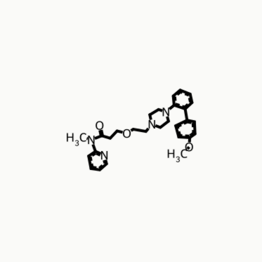 COc1ccc(-c2ccccc2N2CCN(CCOCCC(=O)N(C)c3ccccn3)CC2)cc1